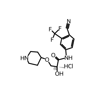 C[C@](O)(COC1CCNCC1)C(=O)Nc1ccc(C#N)c(C(F)(F)F)c1.Cl